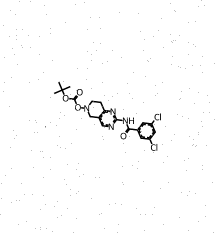 CC(C)(C)OC(=O)ON1CCc2nc(NC(=O)c3cc(Cl)cc(Cl)c3)ncc2C1